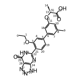 CCOc1cc(-c2cc(C)cc(O[C@@H](C)C(=O)O)c2)ccc1-c1nc2[nH]nnc2c(=O)[nH]1